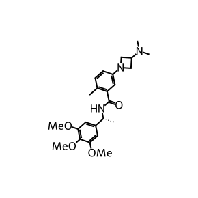 COc1cc([C@@H](C)NC(=O)c2cc(N3CC(N(C)C)C3)ccc2C)cc(OC)c1OC